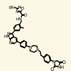 Cc1cc(-c2n[nH]c3ncc(-c4ccc(N5CCN(CCc6ccc(N7CC(=O)NC7=O)cc6)CC5)cc4)cc23)ccc1CNC(=O)c1nc(C(C)(C)C)no1